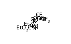 CCOC(=O)N1c2c(c(C)nn2C)C(N(Cc2cc(C(F)(F)F)cc(C(F)(F)F)c2)C(=O)OC)CC1CC